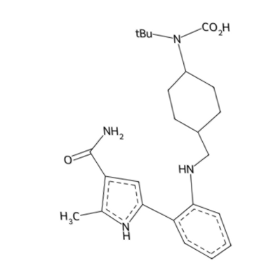 Cc1[nH]c(-c2ccccc2NCC2CCC(N(C(=O)O)C(C)(C)C)CC2)cc1C(N)=O